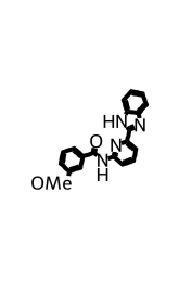 COc1cccc(C(=O)Nc2cccc(-c3nc4ccccc4[nH]3)n2)c1